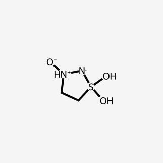 [O-][NH+]1CCS(O)(O)[N]1